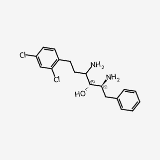 NC(CCc1ccc(Cl)cc1Cl)[C@@H](O)[C@@H](N)Cc1ccccc1